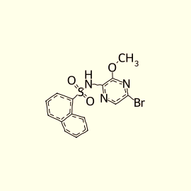 COc1nc(Br)cnc1NS(=O)(=O)c1cccc2ccccc12